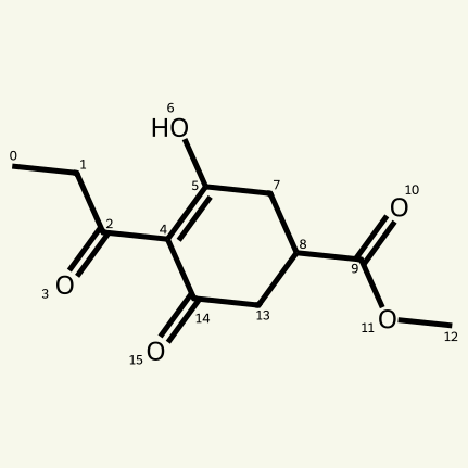 CCC(=O)C1=C(O)CC(C(=O)OC)CC1=O